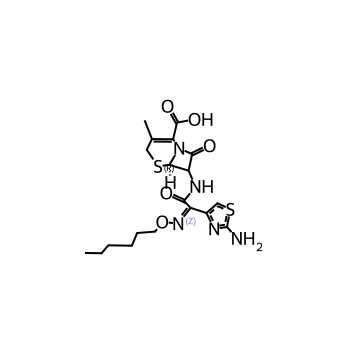 CCCCCCO/N=C(\C(=O)NC1C(=O)N2C(C(=O)O)=C(C)CS[C@H]12)c1csc(N)n1